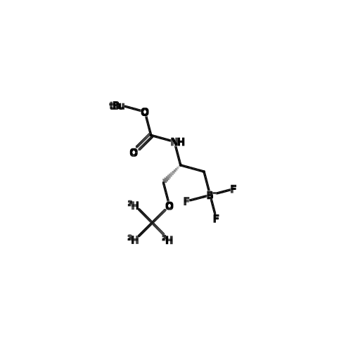 [2H]C([2H])([2H])OC[C@@H](C[B-](F)(F)F)NC(=O)OC(C)(C)C